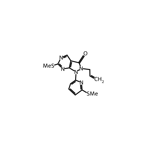 C=CCn1c(=O)c2cnc(SC)nc2n1-c1cccc(SC)n1